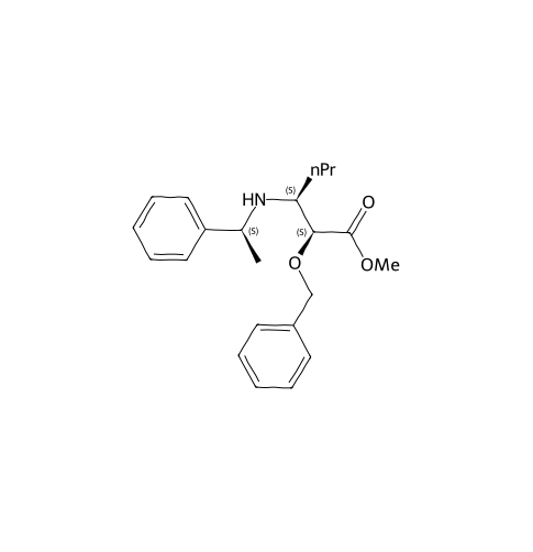 CCC[C@H](N[C@@H](C)c1ccccc1)[C@H](OCc1ccccc1)C(=O)OC